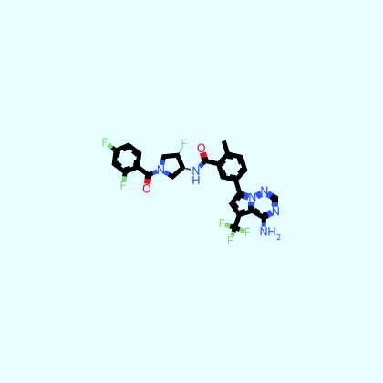 Cc1ccc(-c2cc(C(F)(F)F)c3c(N)ncnn23)cc1C(=O)N[C@@H]1CN(C(=O)c2ccc(F)cc2F)C[C@@H]1F